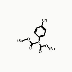 CC(C)(C)OC(=O)N(C(=O)OC(C)(C)C)c1ccc(C#N)cc1